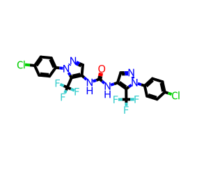 O=C(Nc1cnn(-c2ccc(Cl)cc2)c1C(F)(F)F)Nc1cnn(-c2ccc(Cl)cc2)c1C(F)(F)F